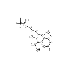 CC(=O)N[C@@H](CO)C(OCCCCCC(=O)C(C)(C)C)OC(CO)[C@@H](C)O